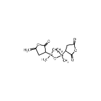 C=C1CC([Si](C)(C)O[Si](C)(C)C2CC(=O)OC2=O)C(=O)O1